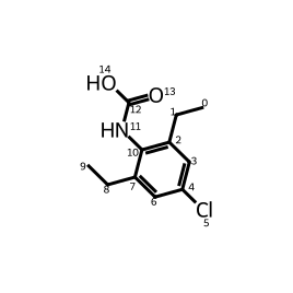 CCc1cc(Cl)cc(CC)c1NC(=O)O